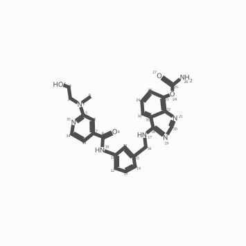 CN(CCO)c1cc(C(=O)Nc2cccc(CNc3ncnc4c(OC(N)=O)cccc34)c2)ccn1